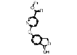 CC(C)OC(=O)c1ccc(Oc2ccc3c(c2)COB3O)nc1